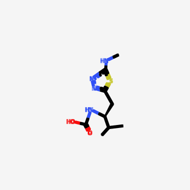 CNc1nnc(C[C@H](NC(=O)O)C(C)C)s1